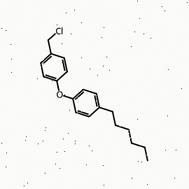 CCCCCCc1ccc(Oc2ccc(CCl)cc2)cc1